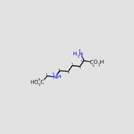 NC(CCCCNCC(=O)O)C(=O)O